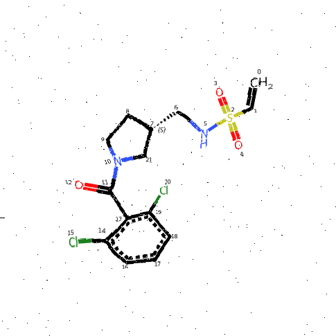 C=CS(=O)(=O)NC[C@H]1CCN(C(=O)c2c(Cl)cccc2Cl)C1